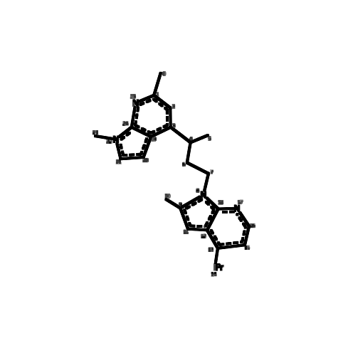 Cc1cc(C(C)CCn2c(C)cc3c(C(C)C)ccnc32)c2ccn(C)c2n1